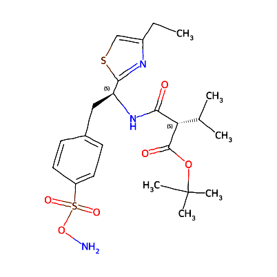 CCc1csc([C@H](Cc2ccc(S(=O)(=O)ON)cc2)NC(=O)[C@@H](C(=O)OC(C)(C)C)C(C)C)n1